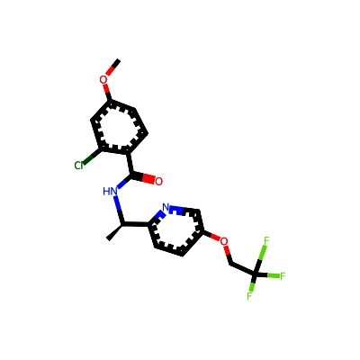 COc1ccc(C(=O)N[C@H](C)c2ccc(OCC(F)(F)F)cn2)c(Cl)c1